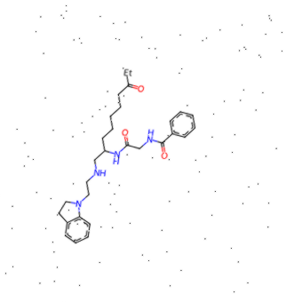 CCC(=O)CCCCCC(CNCCN1CCc2ccccc21)NC(=O)CNC(=O)c1ccccc1